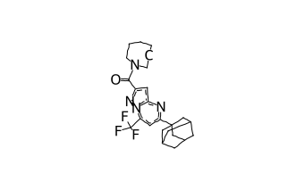 O=C(c1cc2nc(C34CC5CC(CC(C5)C3)C4)cc(C(F)(F)F)n2n1)N1CCCCCC1